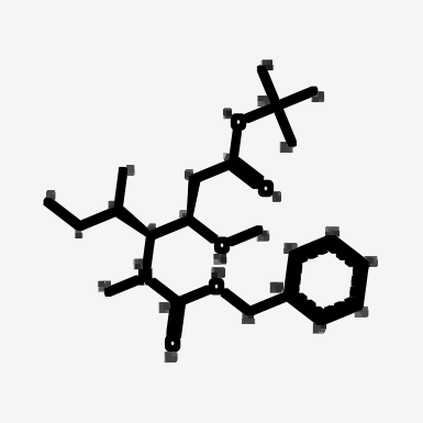 CCC(C)[C@@H]([C@@H](CC(=O)OC(C)(C)C)OC)N(C)C(=O)OCc1ccccc1